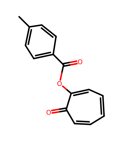 Cc1ccc(C(=O)Oc2cccccc2=O)cc1